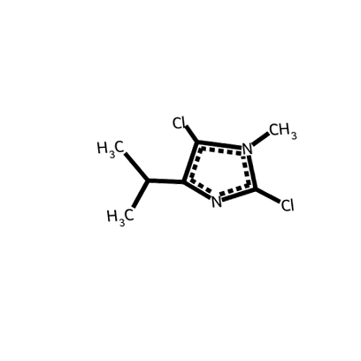 CC(C)c1nc(Cl)n(C)c1Cl